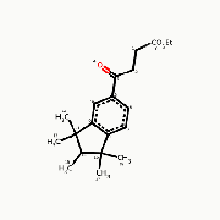 CCOC(=O)CCC(=O)c1ccc2c(c1)C(C)(C)C(C)C2(C)C